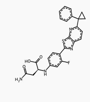 NC(=O)C[C@H](Nc1ccc(-c2nc3ccc(C4(c5ccccc5)CC4)nc3s2)c(F)c1)C(=O)O